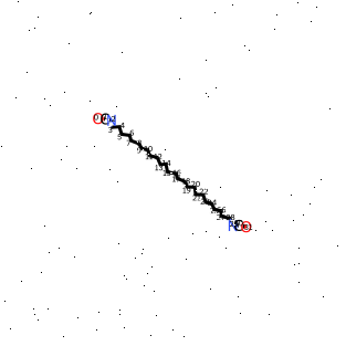 O=C=NCCCCCCCCCCCCCCCCCCCCCCCCCCN=C=O